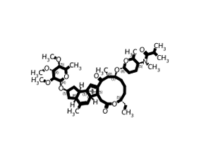 CC[C@H]1CCC[C@H](O[C@H]2CC[C@H](N(C)C(=O)C(C)C)C(C)O2)[C@@H](C)C(=O)C2=C[C@@H]3[C@@H](C=C(C)[C@@H]4C[C@@H](O[C@@H]5OC(C)[C@H](OC)[C@@H](OC)C5OC)C[C@@H]34)[C@@H]2CC(=O)O1